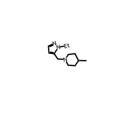 CCn1nccc1CN1CCC(C)CC1